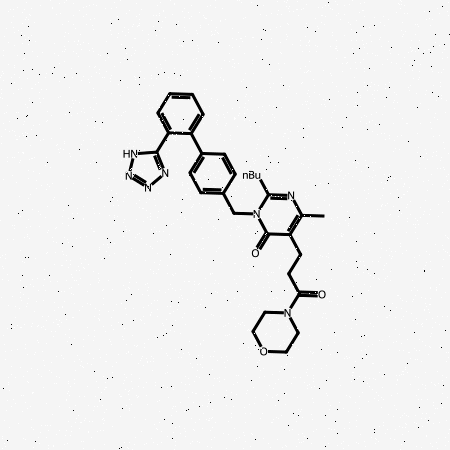 CCCCc1nc(C)c(CCC(=O)N2CCOCC2)c(=O)n1Cc1ccc(-c2ccccc2-c2nnn[nH]2)cc1